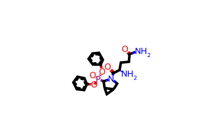 NC(=O)CC[C@H](N)C(=O)N1CC2CC2C1P(=O)(Oc1ccccc1)Oc1ccccc1